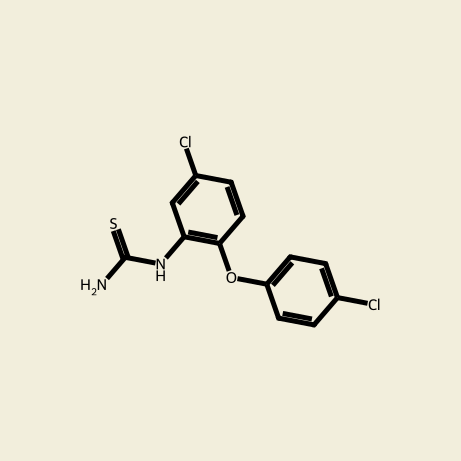 NC(=S)Nc1cc(Cl)ccc1Oc1ccc(Cl)cc1